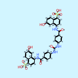 O=C(Nc1ccc(C(=O)Nc2ccc(S(=O)(=O)O)c3ccc(O)cc23)cc1)Nc1ccc(C(=O)Nc2ccc(S(=O)(=O)O)c3ccc(O)cc23)cc1